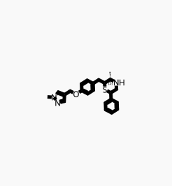 C[C@@H]1NCC(c2ccccc2)SC1Cc1ccc(OCc2cnn(C)c2)cc1